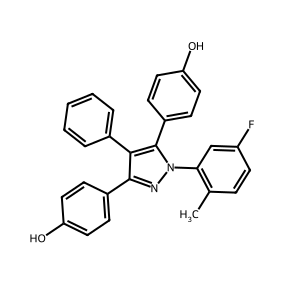 Cc1ccc(F)cc1-n1nc(-c2ccc(O)cc2)c(-c2ccccc2)c1-c1ccc(O)cc1